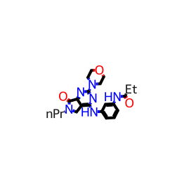 CCCN1Cc2c(Nc3cccc(NC(=O)CC)c3)nc(N3CCOCC3)nc2C1=O